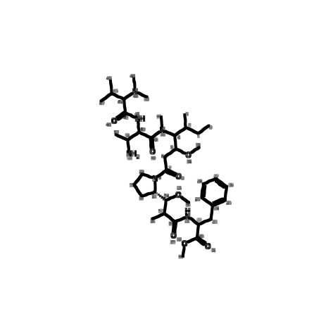 CCC(C)C(C(CC(=O)N1CCC[C@H]1C(OC)C(C)C(=O)NC(Cc1ccccc1)C(=O)OC)OC)N(C)C(=O)C(NC(=O)C(C(C)C)N(C)C)C(C)N